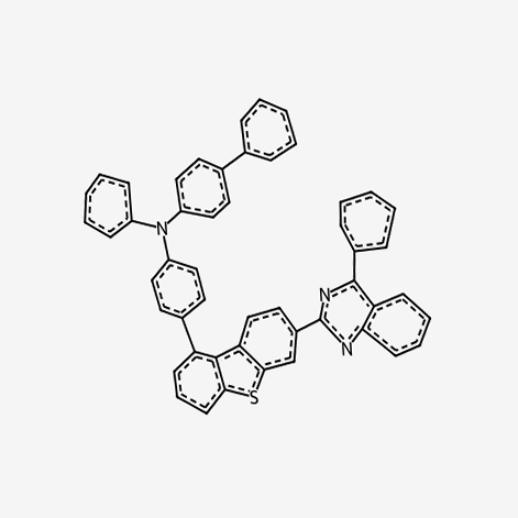 c1ccc(-c2ccc(N(c3ccccc3)c3ccc(-c4cccc5sc6cc(-c7nc(-c8ccccc8)c8ccccc8n7)ccc6c45)cc3)cc2)cc1